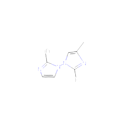 CCc1nc(C)cn1-n1ccnc1C(C)C